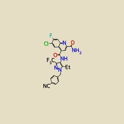 CCc1c(NC(=O)c2cc(C(N)=O)nc3cc(F)c(Cl)cc23)c(C(F)(F)F)nn1Cc1ccc(C#N)cc1